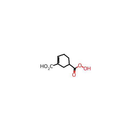 O=C(O)C1=CCCC(C(=O)OO)C1